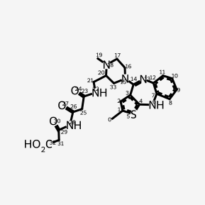 Cc1cc2c(s1)Nc1ccccc1N=C2N1CCN(C)C(CNC(=O)CC(=O)NC(=O)CC(=O)O)C1